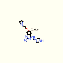 COc1cc2c(NCN3CCNCC3)nc(N(C)C)nc2cc1OCCCN1CCCC1